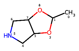 CC1OC2CNCC2O1